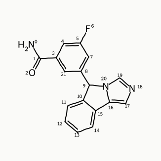 NC(=O)c1cc(F)cc(C2c3ccccc3-c3cncn32)c1